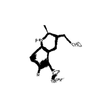 CCCOc1c(Br)ccc2c1CC(CC=O)[C@H](C)N2